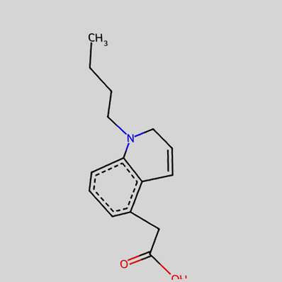 CCCCN1CC=Cc2c(CC(=O)O)cccc21